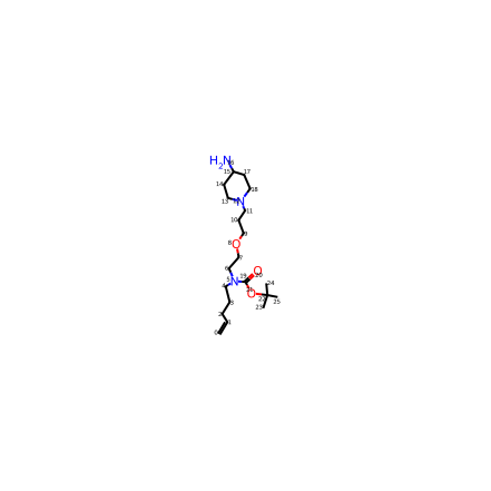 C=CCCCN(CCOCCCN1CCC(N)CC1)C(=O)OC(C)(C)C